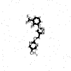 Cc1cnc(OCc2cn(-c3cccc(C(F)F)c3F)nn2)nc1